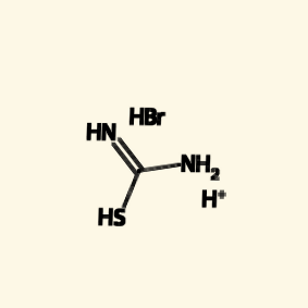 Br.N=C(N)S.[H+]